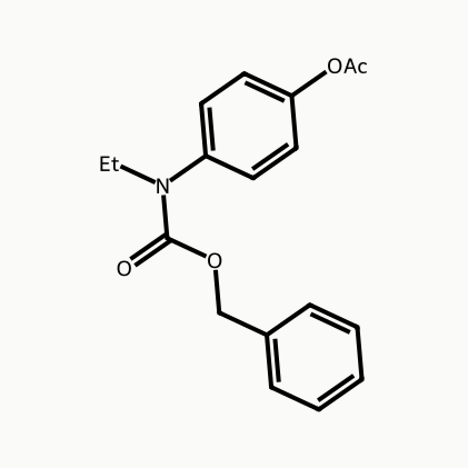 [CH2]CN(C(=O)OCc1ccccc1)c1ccc(OC(C)=O)cc1